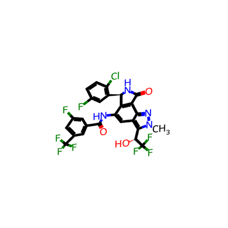 Cn1nc2c3c(c(NC(=O)c4cc(F)cc(C(F)(F)F)c4)cc2c1[C@@H](O)C(F)(F)F)[C@@H](c1cc(F)ccc1Cl)NC3=O